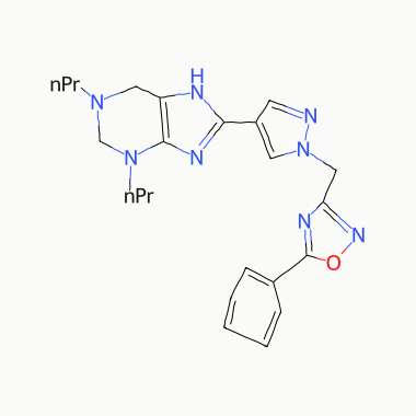 CCCN1Cc2[nH]c(-c3cnn(Cc4noc(-c5ccccc5)n4)c3)nc2N(CCC)C1